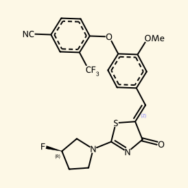 COc1cc(/C=C2\SC(N3CC[C@@H](F)C3)=NC2=O)ccc1Oc1ccc(C#N)cc1C(F)(F)F